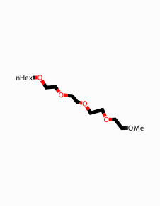 CCCCCCOCCOCCOCCOCCOC